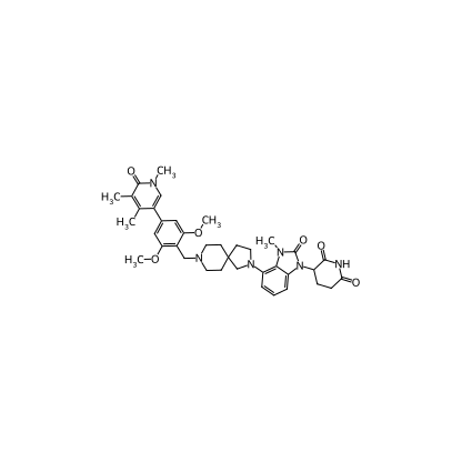 COc1cc(-c2cn(C)c(=O)c(C)c2C)cc(OC)c1CN1CCC2(CC1)CCN(c1cccc3c1n(C)c(=O)n3C1CCC(=O)NC1=O)C2